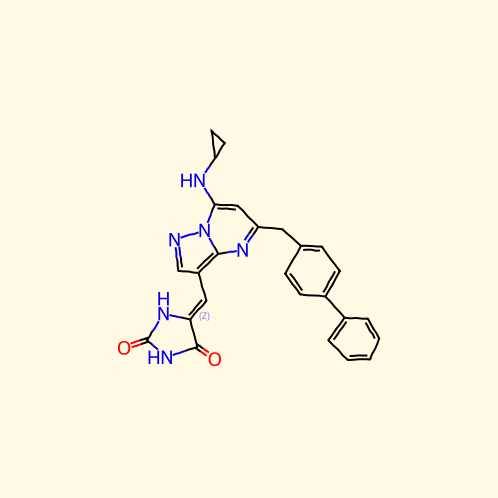 O=C1NC(=O)/C(=C/c2cnn3c(NC4CC4)cc(Cc4ccc(-c5ccccc5)cc4)nc23)N1